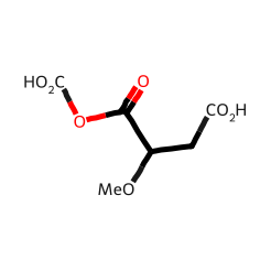 COC(CC(=O)O)C(=O)OC(=O)O